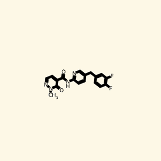 Cn1nccc(C(=O)Nc2ccc(Cc3ccc(F)c(F)c3)cn2)c1=O